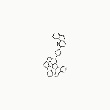 c1ccc2c(c1)-c1ccccc1C21c2c(cc(-c3ccc(-c4ccc5ccc6ccccc6c5n4)cc3)c3ccccc23)-c2c1c1ccccc1c1ccccc21